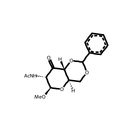 CO[C@@H]1O[C@@H]2COC(c3ccccc3)O[C@H]2C(=O)[C@H]1NC(C)=O